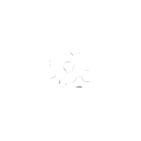 CCNC(=O)c1nnc(-c2cc(C(C)C)c(O)cc2O)n1-c1ccc(C(=O)O)cc1